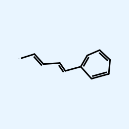 [CH2]C=C/C=C/c1ccccc1